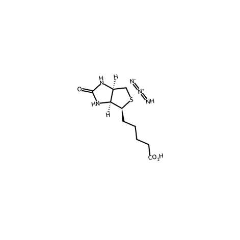 O=C(O)CCCC[C@@H]1SC[C@@H]2NC(=O)N[C@@H]21.[N-]=[N+]=N